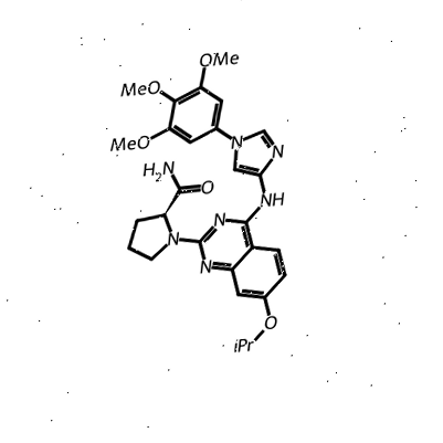 COc1cc(-n2cnc(Nc3nc(N4CCC[C@H]4C(N)=O)nc4cc(OC(C)C)ccc34)c2)cc(OC)c1OC